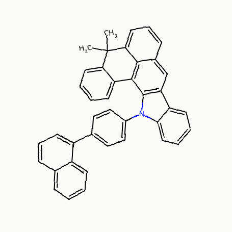 CC1(C)c2ccccc2-c2c3c1cccc3cc1c3ccccc3n(-c3ccc(-c4cccc5ccccc45)cc3)c21